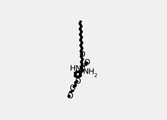 CCCCCCCCCCCCOCCCN(C=O)c1[nH]c2ccc(OCCOCCOC)cc2c1N